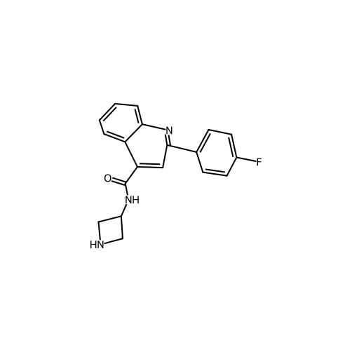 O=C(NC1CNC1)c1cc(-c2ccc(F)cc2)nc2ccccc12